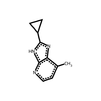 Cc1ccnc2[nH]c(C3CC3)nc12